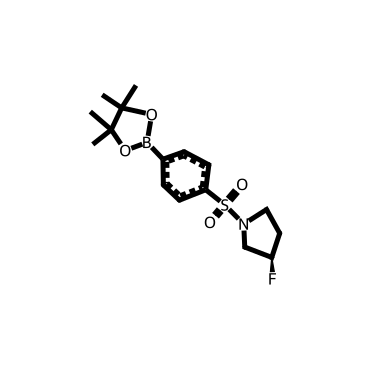 CC1(C)OB(c2ccc(S(=O)(=O)N3CC[C@@H](F)C3)cc2)OC1(C)C